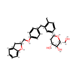 Cc1ccc([C@H]2C[C@@H](O)[C@H](O)[C@@H](CO)O2)cc1Cc1ccc(OC[C@@H]2Cc3ccccc3O2)cc1